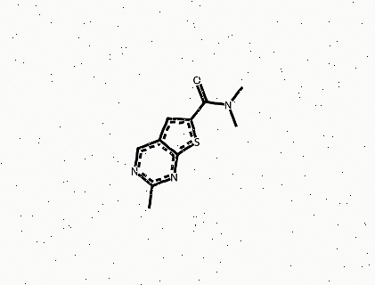 Cc1ncc2cc(C(=O)N(C)C)sc2n1